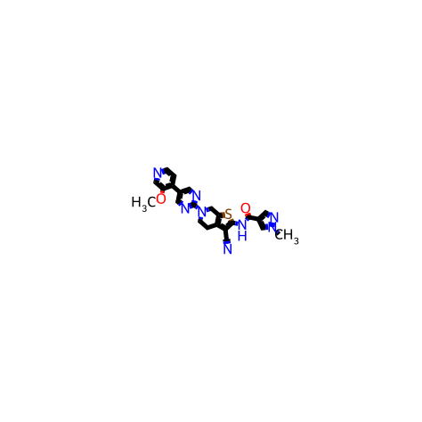 COc1cnccc1-c1cnc(N2CCc3c(sc(NC(=O)c4cnn(C)c4)c3C#N)C2)nc1